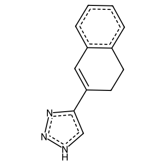 C1=C(c2c[nH]nn2)CCc2ccccc21